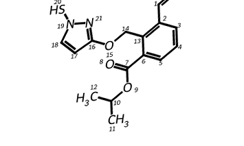 C=Cc1cccc(C(=O)OC(C)C)c1COc1ccn(S)n1